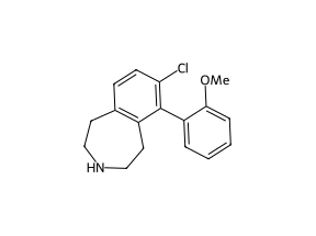 COc1ccccc1-c1c(Cl)ccc2c1CCNCC2